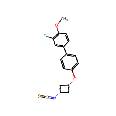 COc1ccc(-c2ccc(O[C@H]3C[C@@H](N=C=S)C3)cc2)cc1F